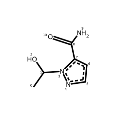 CC(O)n1nccc1C(N)=O